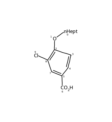 CCCCCCCOc1ccc(C(=O)O)cc1Cl